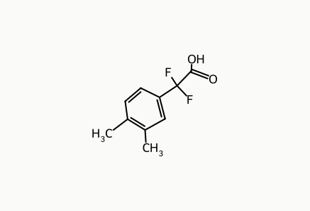 Cc1ccc(C(F)(F)C(=O)O)cc1C